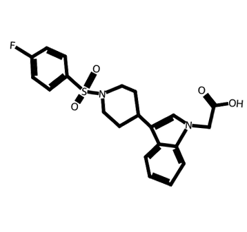 O=C(O)Cn1cc(C2CCN(S(=O)(=O)c3ccc(F)cc3)CC2)c2ccccc21